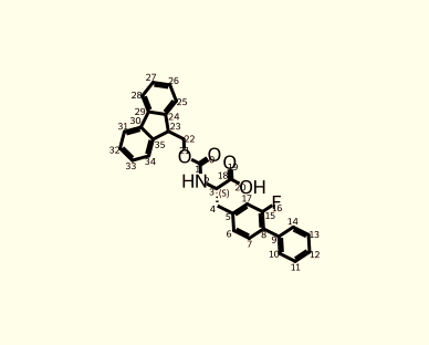 O=C(N[C@@H](Cc1ccc(-c2ccccc2)c(F)c1)C(=O)O)OCC1c2ccccc2-c2ccccc21